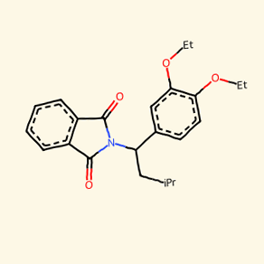 CCOc1ccc(C(CC(C)C)N2C(=O)c3ccccc3C2=O)cc1OCC